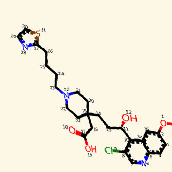 COc1ccc2ncc(Cl)c([C@H](O)CCC3(CC(=O)O)CCN(CCCCc4nccs4)CC3)c2c1